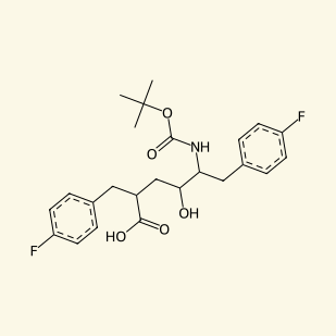 CC(C)(C)OC(=O)NC(Cc1ccc(F)cc1)C(O)CC(Cc1ccc(F)cc1)C(=O)O